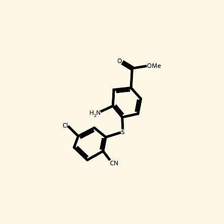 COC(=O)c1ccc(Sc2cc(Cl)ccc2C#N)c(N)c1